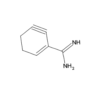 N=C(N)C1=CCCC#C1